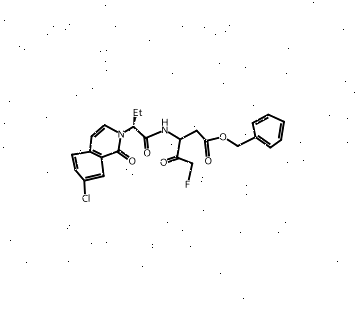 CC[C@@H](C(=O)NC(CC(=O)OCc1ccccc1)C(=O)CF)n1ccc2ccc(Cl)cc2c1=O